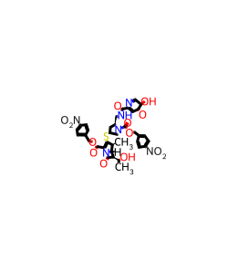 CC(O)[C@H]1C(=O)N2C(C(=O)OCc3ccc([N+](=O)[O-])cc3)=C(S[C@H]3C[C@@H](CNC(=O)C4=CC(=O)C(O)C=N4)N(C(=O)OCc4ccc([N+](=O)[O-])cc4)C3)[C@H](C)[C@H]12